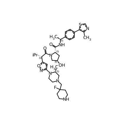 Cc1ncsc1-c1ccc([C@H](C)NC(=O)[C@@H]2C[C@@H](O)CN2C(=O)[C@H](c2cc(N3CCN(CC4(F)CCNCC4)C[C@@H]3C)no2)C(C)C)cc1